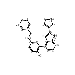 Clc1ccc(NCc2cccnc2)cc1-c1ccnc2[nH]c(C3=CCNC3)cc12